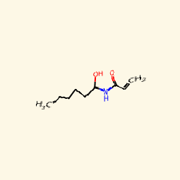 C=CC(=O)NC(O)CCCCC